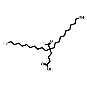 O=C(O)CCCC(CCCCCCCCCCS)(CCCCCCCCCCS)C(=O)O